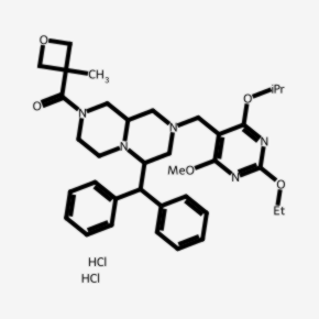 CCOc1nc(OC)c(CN2CC3CN(C(=O)C4(C)COC4)CCN3C(C(c3ccccc3)c3ccccc3)C2)c(OC(C)C)n1.Cl.Cl